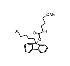 COCCCNC(=O)OC1(CCCCBr)c2ccccc2-c2ccccc21